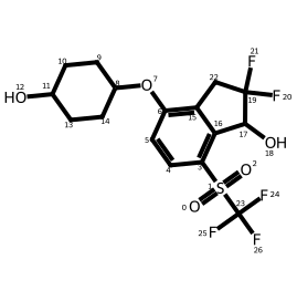 O=S(=O)(c1ccc(OC2CCC(O)CC2)c2c1C(O)C(F)(F)C2)C(F)(F)F